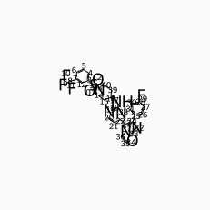 O=S(=O)(c1cccc(C(F)(F)F)c1)N1CCC(Nc2nccc(-c3c(-c4ccc(F)cc4)nc4occn34)n2)CC1